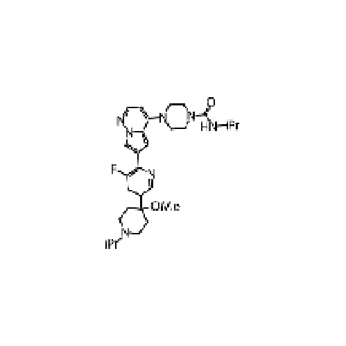 COC1(C2C=NC(c3cc4c(N5CCN(C(=O)NC(C)C)CC5)ccnn4c3)=C(F)C2)CCN(C(C)C)CC1